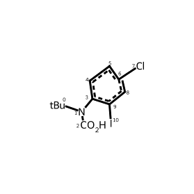 CC(C)(C)N(C(=O)O)c1ccc(Cl)cc1I